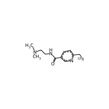 CN(C)CCNC(=O)c1ccc(C[125I])nc1